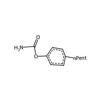 CCCCCc1ccc(OC(N)=O)cc1